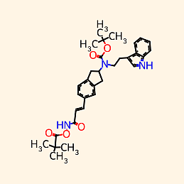 CC(C)(C)OC(=O)N(CCc1c[nH]c2ccccc12)C1Cc2ccc(/C=C/C(=O)NOC(=O)C(C)(C)C)cc2C1